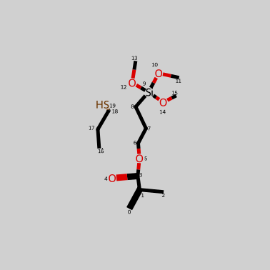 C=C(C)C(=O)OCCC[Si](OC)(OC)OC.[CH2]CCS